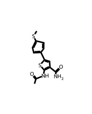 CSc1ccc(-c2cc(C(N)=O)c(NC(C)=O)s2)cc1